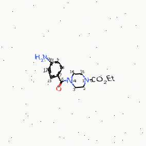 CCOC(=O)N1CCN(C(=O)c2ccc(N)cc2)CC1